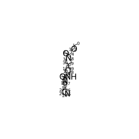 CCOCCC(=O)N1CCC(c2ccc(NC(=O)N3CC(c4cccnc4)C3)cc2)CC1